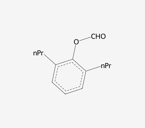 CCCc1cccc(CCC)c1OC=O